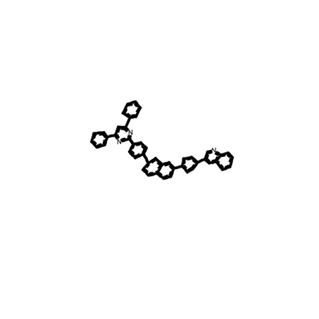 c1ccc(-c2cc(-c3ccccc3)nc(-c3ccc(-c4ccc5ccc(-c6ccc(-c7cnc8ccccc8c7)cc6)cc5c4)cc3)n2)cc1